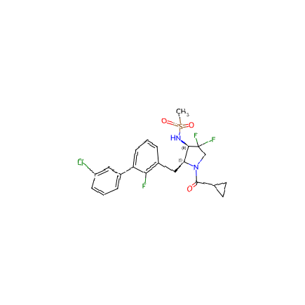 CS(=O)(=O)N[C@@H]1[C@H](Cc2cccc(-c3cccc(Cl)c3)c2F)N(C(=O)C2CC2)CC1(F)F